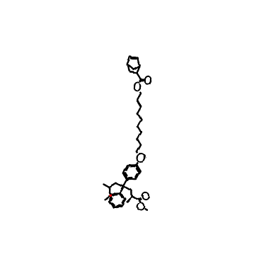 CCC(C)CC(CC(C)C(=O)OC)(c1ccccc1)c1ccc(OCCCCCCCCCCOC(=O)C2CC3C=CC2C3)cc1